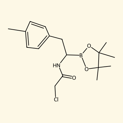 Cc1ccc(CC(NC(=O)CCl)B2OC(C)(C)C(C)(C)O2)cc1